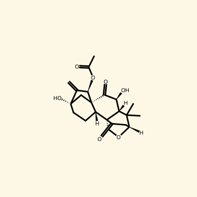 C=C1[C@@H](OC(C)=O)[C@]23C[C@@]1(O)CC[C@H]2[C@]12CO[C@H](CC1=O)C(C)(C)[C@H]2[C@H](O)C3=O